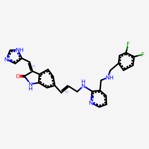 O=C1Nc2cc(/C=C/CNc3ncccc3CNCc3ccc(F)c(F)c3)ccc2/C1=C/c1cnc[nH]1